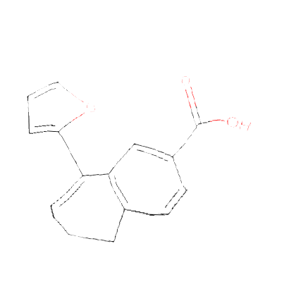 O=C(O)c1ccc2c(c1)C(c1ccco1)=CCC2